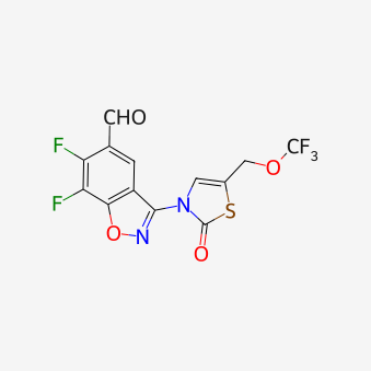 O=Cc1cc2c(-n3cc(COC(F)(F)F)sc3=O)noc2c(F)c1F